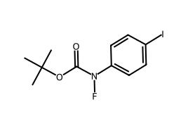 CC(C)(C)OC(=O)N(F)c1ccc(I)cc1